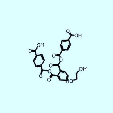 O=C(O)c1ccc(C(=O)OC(=O)c2ccccc2C(=O)OC(=O)c2ccc(C(=O)O)cc2)cc1.OCCO